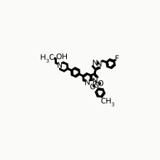 Cc1ccc(S(=O)(=O)n2cc(-c3cnn(Cc4cccc(F)c4)c3)c3cc(-c4ccc(C5CCN(CC(C)O)CC5)cc4)cnc32)cc1